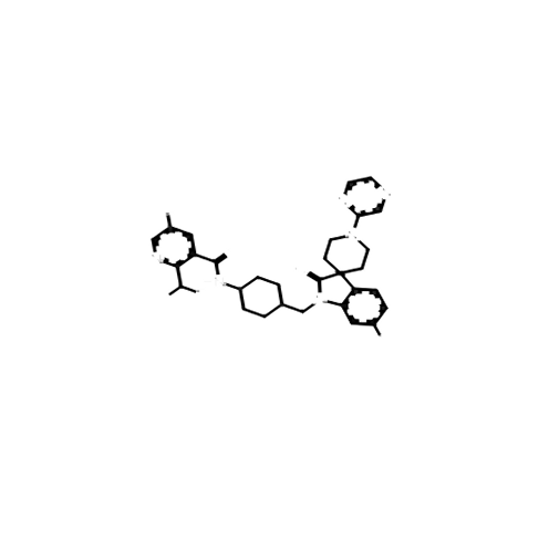 O=C(NC1CCC(CN2C(=O)C3(CCN(c4cnccn4)CC3)c3ccc(F)cc32)CC1)c1cc(Cl)cnc1C(F)F